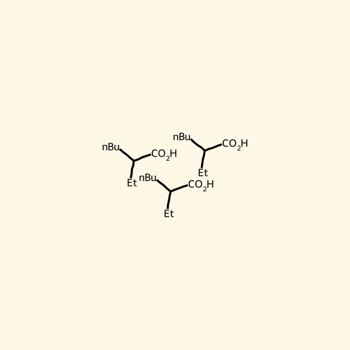 CCCCC(CC)C(=O)O.CCCCC(CC)C(=O)O.CCCCC(CC)C(=O)O